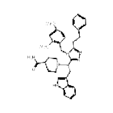 COc1ccc(Cn2c(CCc3ccccc3)nnc2[C@@H](Cc2c[nH]c3ccccc23)N2CCC(C(N)=O)CC2)c(OC)c1